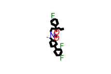 C=CCC1(c2ccc(F)cc2)CCN([C@@H](C)c2ccc(-c3ccc(F)cc3F)cc2)C(=O)O1